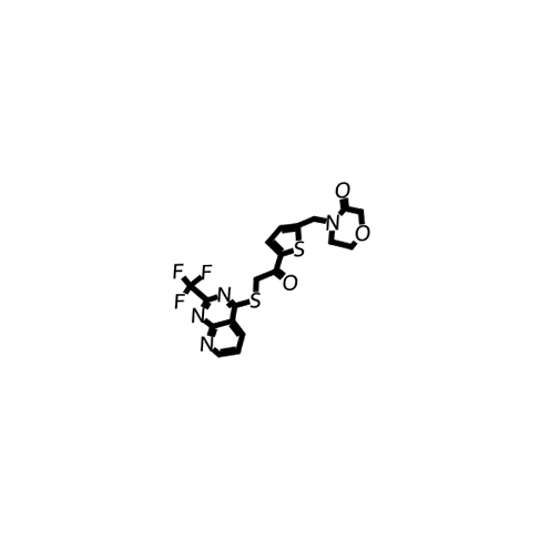 O=C(CSc1nc(C(F)(F)F)nc2ncccc12)c1ccc(CN2CCOCC2=O)s1